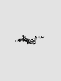 CC(=O)NCCOC(=O)c1ccccc1C(=O)O[C@H]1CC[C@]2(C)C3CC=C4C5CC(C)(C)CC[C@]5(C(=O)NCCN5CCNCC5)CC[C@@]4(C)[C@]3(C)CC[C@H]2C1(C)C